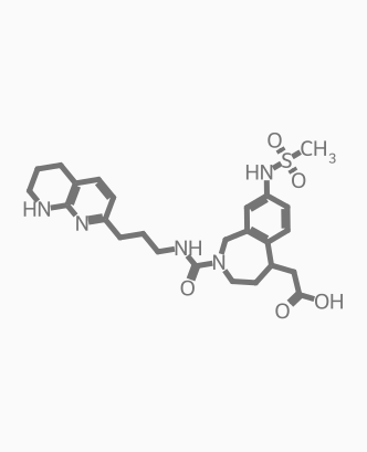 CS(=O)(=O)Nc1ccc2c(c1)CN(C(=O)NCCCc1ccc3c(n1)NCCC3)CCC2CC(=O)O